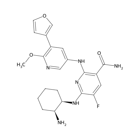 COc1ncc(Nc2nc(N[C@@H]3CCCC[C@@H]3N)c(F)cc2C(N)=O)cc1-c1ccoc1